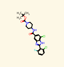 CC(C)(C)OC(=O)N1CCC(NC(=O)c2cc(Cl)c3[nH]c(-c4c(F)cccc4Cl)nc3c2)CC1